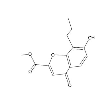 CCCc1c(O)ccc2c(=O)cc(C(=O)OC)oc12